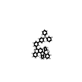 c1ccc(P(c2ccccc2)c2ccc(-c3cccc(-c4nc5ccccc5c5c6c(ccc45)C4(c5ccccc5Oc5ccccc54)c4ccccc4-6)c3)cc2)cc1